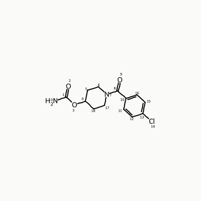 NC(=O)OC1CCN(C(=O)c2ccc(Cl)cc2)CC1